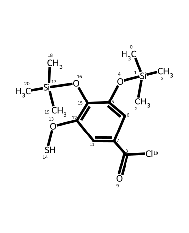 C[Si](C)(C)Oc1cc(C(=O)Cl)cc(OS)c1O[Si](C)(C)C